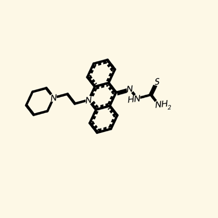 NC(=S)NN=c1c2ccccc2n(CCN2CCCCC2)c2ccccc12